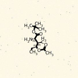 CC[C@H](OC(C)=O)[C@H](C)[C@H](N)C(=O)OC(C)(C)C